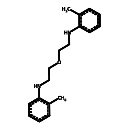 Cc1ccccc1NCCOCCNc1ccccc1C